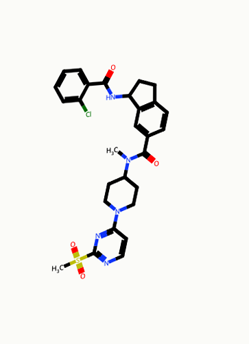 CN(C(=O)c1ccc2c(c1)C(NC(=O)c1ccccc1Cl)CC2)C1CCN(c2ccnc(S(C)(=O)=O)n2)CC1